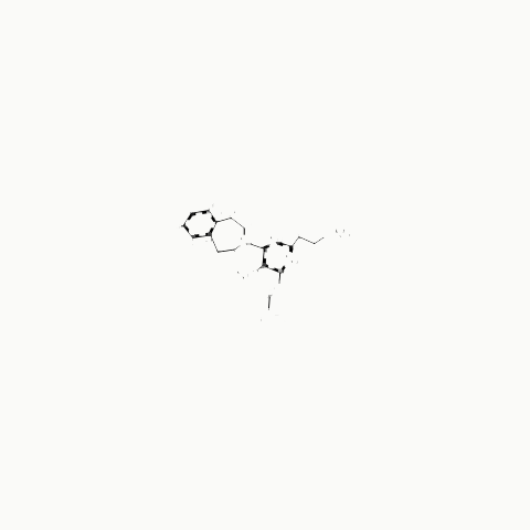 CSCCc1nc(OCC(F)(F)F)c(C#N)c(N2CCc3ccccc3CC2)n1